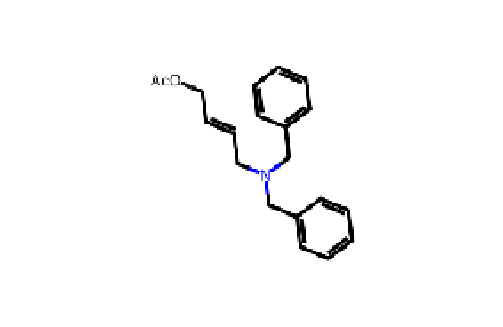 CC(=O)OCC=CCN(Cc1ccccc1)Cc1ccccc1